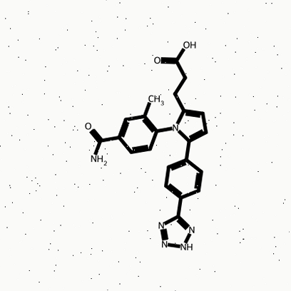 Cc1cc(C(N)=O)ccc1-n1c(CCC(=O)O)ccc1-c1ccc(-c2nn[nH]n2)cc1